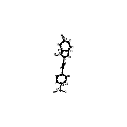 CN(C)c1ccc(C#Cc2cc3ccc(F)cc3n2C)cc1